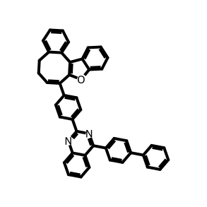 C1=C(/c2ccc(-c3nc(-c4ccc(-c5ccccc5)cc4)c4ccccc4n3)cc2)c2oc3ccccc3c2-c2ccccc2CC/1